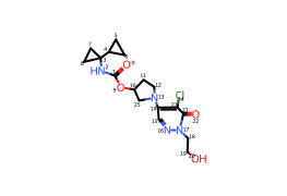 O=C(NC1(C2CC2)CC1)OC1CCN(c2cnn(CCO)c(=O)c2Cl)C1